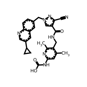 Cc1cc(NC(=O)O)nc(C)c1CNC(=O)c1cn(Cc2ccc3ncc(C4CC4)cc3c2)nc1C#N